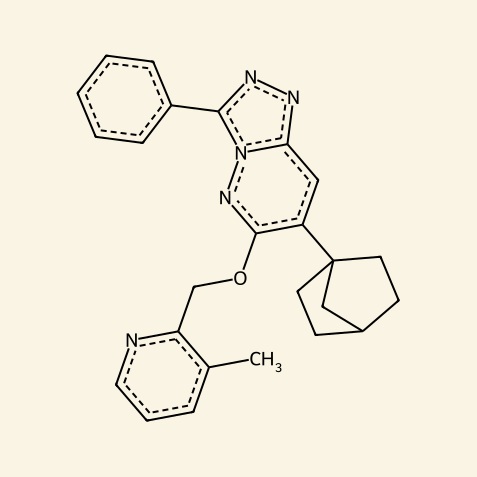 Cc1cccnc1COc1nn2c(-c3ccccc3)nnc2cc1C12CCC(CC1)C2